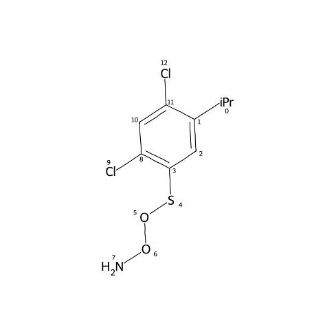 CC(C)c1cc(SOON)c(Cl)cc1Cl